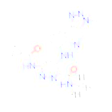 [2H]C([2H])([2H])NC(=O)c1nnc(NC(=O)C2CC2)cc1Nc1cccc2c1N(C)Cc1c-2nnn1C